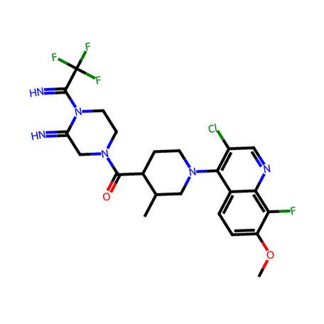 COc1ccc2c(N3CCC(C(=O)N4CCN(C(=N)C(F)(F)F)C(=N)C4)C(C)C3)c(Cl)cnc2c1F